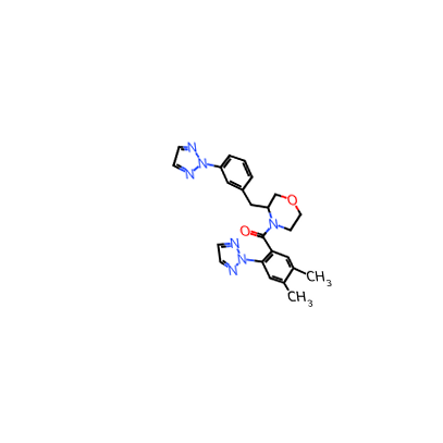 Cc1cc(C(=O)N2CCOCC2Cc2cccc(-n3nccn3)c2)c(-n2nccn2)cc1C